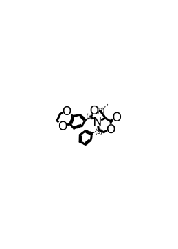 C[C@H]1O[C@@H](c2ccc3c(c2)OCCO3)N2C1C(=O)OC[C@@H]2c1ccccc1